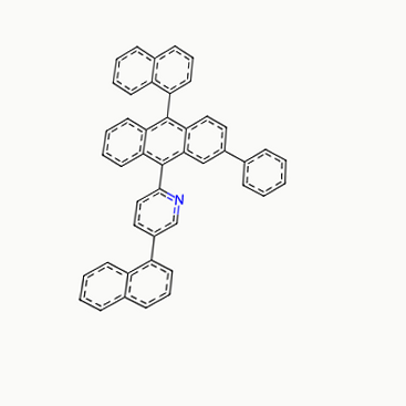 c1ccc(-c2ccc3c(-c4cccc5ccccc45)c4ccccc4c(-c4ccc(-c5cccc6ccccc56)cn4)c3c2)cc1